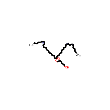 CCCCC/C=C\C/C=C\CCCCCCCCC1(CCCCCCCC/C=C\C/C=C\CCCCC)OCC(CCCCO)O1